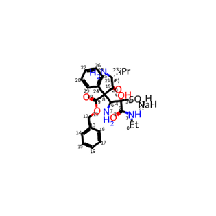 CCNC(=O)C(O)(C(N)C(C(=O)OCc1ccccc1)(C(=O)[C@H](N)C(C)C)c1ccccc1)S(=O)(=O)O.[NaH]